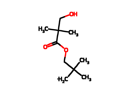 [CH2]C(C)(C)COC(=O)C(C)(C)CO